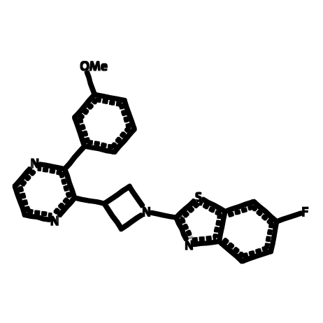 COc1cccc(-c2nccnc2C2CN(c3nc4ccc(F)cc4s3)C2)c1